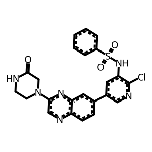 O=C1CN(c2cnc3ccc(-c4cnc(Cl)c(NS(=O)(=O)c5ccccc5)c4)cc3n2)CCN1